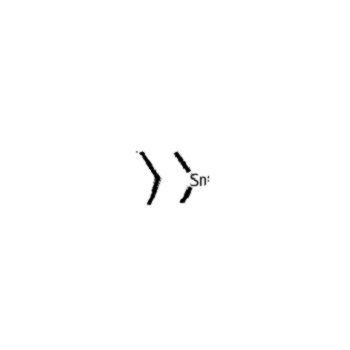 [CH2]CC.[CH3][Sn][CH3]